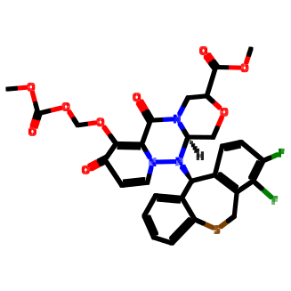 COC(=O)OCOc1c2n(ccc1=O)N([C@@H]1c3ccccc3SCc3c1ccc(F)c3F)[C@@H]1COC(C(=O)OC)CN1C2=O